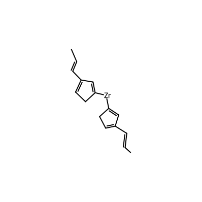 CC=CC1=CC[C]([Zr][C]2=CC(C=CC)=CC2)=C1